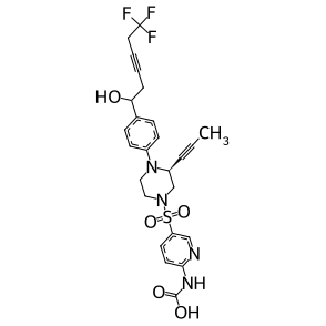 CC#C[C@H]1CN(S(=O)(=O)c2ccc(NC(=O)O)nc2)CCN1c1ccc(C(O)CC#CCC(F)(F)F)cc1